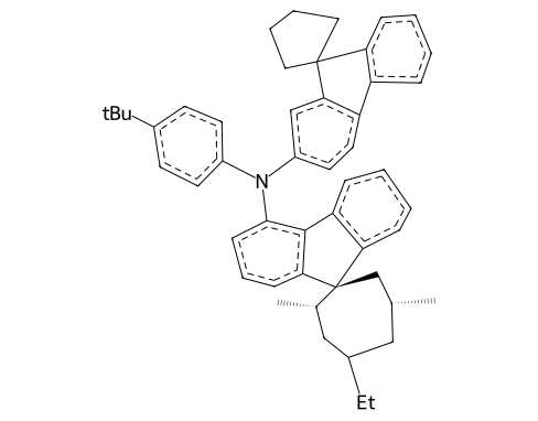 CCC1C[C@@H](C)C[C@@]2(c3ccccc3-c3c(N(c4ccc(C(C)(C)C)cc4)c4ccc5c(c4)C4(CCCC4)c4ccccc4-5)cccc32)[C@@H](C)C1